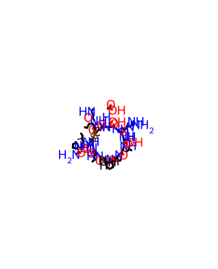 CC(=O)O.CC[C@H](C)[C@H](NC(=O)CNC)C(=O)N[C@H]1CSSC(C)(C)[C@@H](C(=O)N[C@H](C(=O)N2CCC[C@H]2C(N)=O)[C@@H](C)CC)NC(=O)[C@H]([C@@H](C)CC)NC(=O)[C@@H]2C[C@@H]3CCCC[C@@H]3N2C(=O)[C@@H]2CCCN2C(=O)[C@H](CC(C)C)NC(=O)[C@H](CO)NC(=O)[C@H](CCCNC(=N)N)NC(=O)[C@H](CO)NC1=O